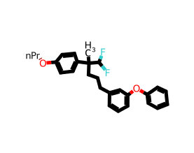 CCCOc1ccc(C(C)(CCCc2cccc(Oc3ccccc3)c2)C(F)F)cc1